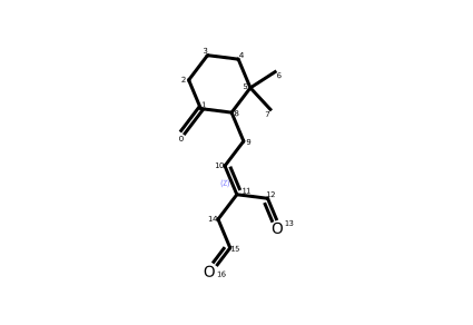 C=C1CCCC(C)(C)C1C/C=C(\C=O)CC=O